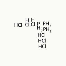 Cl.Cl.Cl.Cl.Cl.Cl.P.P.P